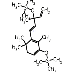 C=CC(C)(/C=C/C1=C(C)C(O[Si](C)(C)C)=CCC1(C)C)O[Si](C)(C)C